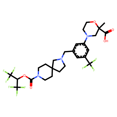 CC1(C(=O)O)CN(c2cc(CN3CCC4(CCN(C(=O)OC(C(F)(F)F)C(F)(F)F)CC4)C3)cc(C(F)(F)F)c2)CCO1